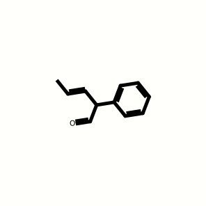 C/C=C/C(C=O)c1ccccc1